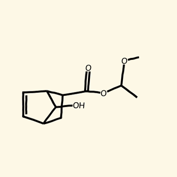 COC(C)OC(=O)C1CC2C=CC1C2O